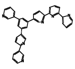 c1ccc(-c2cccc(-c3ccc(-c4cc(-c5cccnc5)cc(-c5ccc(-c6cccnc6)nc5)c4)cn3)n2)nc1